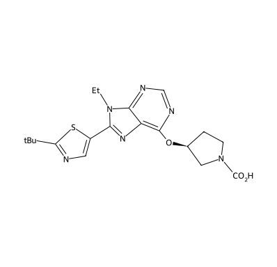 CCn1c(-c2cnc(C(C)(C)C)s2)nc2c(O[C@H]3CCN(C(=O)O)C3)ncnc21